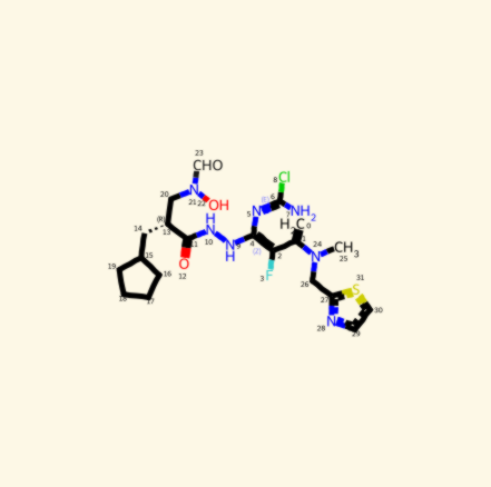 C=C(/C(F)=C(\N=C(/N)Cl)NNC(=O)[C@H](CC1CCCC1)CN(O)C=O)N(C)Cc1nccs1